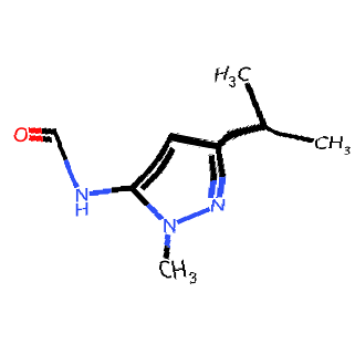 CC(C)c1cc(NC=O)n(C)n1